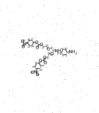 Nc1ccc(CNC(COCCOC(=O)Oc2ccc([N+](=O)[O-])cc2)OCCOC(=O)Oc2ccc([N+](=O)[O-])cc2)cc1